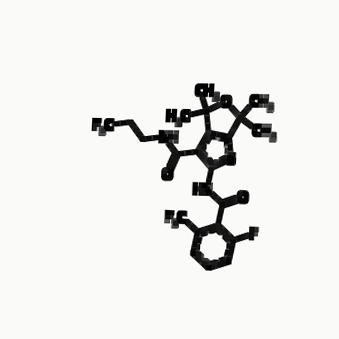 CC1(C)OC(C)(C)c2c1sc(NC(=O)c1c(F)cccc1C(F)(F)F)c2C(=O)NCCC(F)(F)F